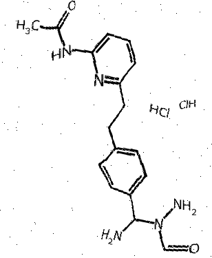 CC(=O)Nc1cccc(CCc2ccc(C(N)N(N)C=O)cc2)n1.Cl.Cl